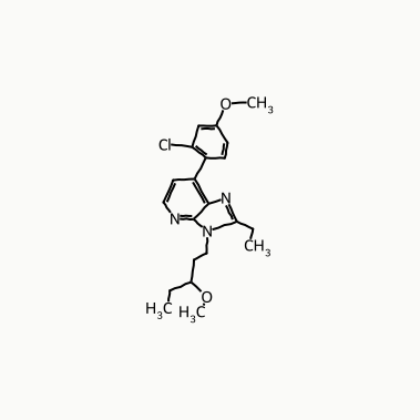 CCc1nc2c(-c3ccc(OC)cc3Cl)ccnc2n1CCC(CC)OC